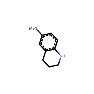 CNc1ccc2c(c1)CCCN2